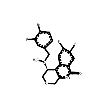 CN(Cc1ccc(Br)c(F)c1)[C@@H]1COCc2[nH]c(=O)c3cc(F)c(F)cc3c21